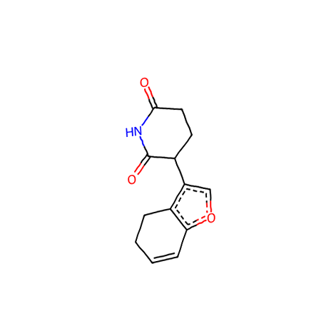 O=C1CCC(c2coc3c2CCC=C3)C(=O)N1